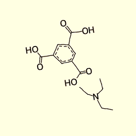 CCN(CC)CC.O=C(O)c1cc(C(=O)O)cc(C(=O)O)c1